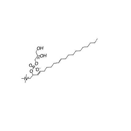 CCCCCCCCCCCCCCCCC=CC(C[N+](C)(C)C)OP(=O)([O-])OC[C@H](O)CO